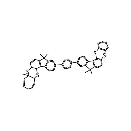 CC1(C)C2=C(c3ccc(-c4ccc(-c5ccc6c(c5)C(C)(C)c5ccc7c(c5-6)Sc5ccccc5S7)cc4)cc31)C1SC3C=CCC=CC3(C)SC1C=C2